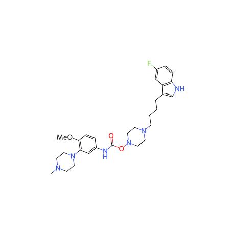 COc1ccc(NC(=O)ON2CCN(CCCCc3c[nH]c4ccc(F)cc34)CC2)cc1N1CCN(C)CC1